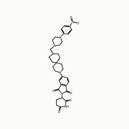 O=C1CCC(N2C(=O)c3ccc(N4CCC5(CCC(CN6CCN(c7ccc([N+](=O)[O-])cc7)CC6)CC5)CC4)cc3C2=O)C(=O)N1